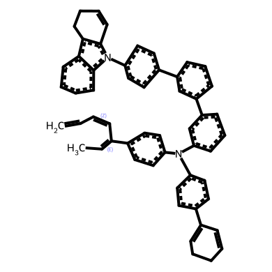 C=C/C=C\C(=C/C)c1ccc(N(c2ccc(C3=CCCC=C3)cc2)c2cccc(-c3cccc(-c4ccc(-n5c6c(c7ccccc75)CCC=C6)cc4)c3)c2)cc1